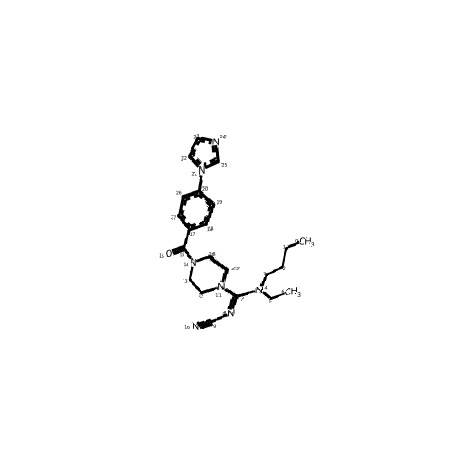 CCCCN(CC)/C(=N/C#N)N1CCN(C(=O)c2ccc(-n3ccnc3)cc2)CC1